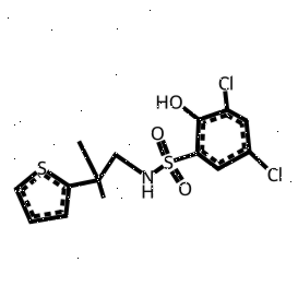 CC(C)(CNS(=O)(=O)c1cc(Cl)cc(Cl)c1O)c1cccs1